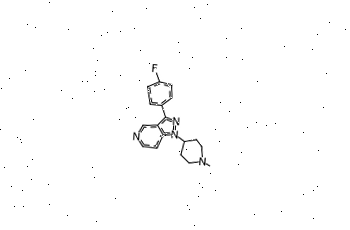 CN1CCC(n2nc(-c3ccc(F)cc3)c3cnccc32)CC1